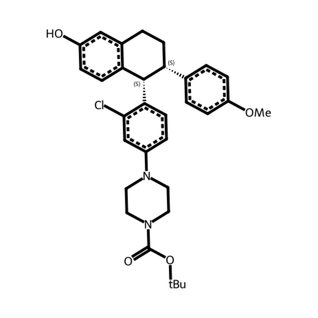 COc1ccc([C@H]2CCc3cc(O)ccc3[C@H]2c2ccc(N3CCN(C(=O)OC(C)(C)C)CC3)cc2Cl)cc1